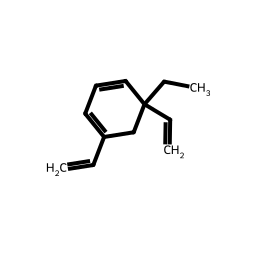 C=CC1=CC=CC(C=C)(CC)C1